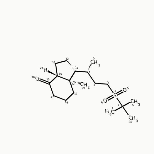 C[C@H](CCS(=O)(=O)C(C)(C)C)[C@H]1CC[C@H]2C(=O)CCC[C@]12C